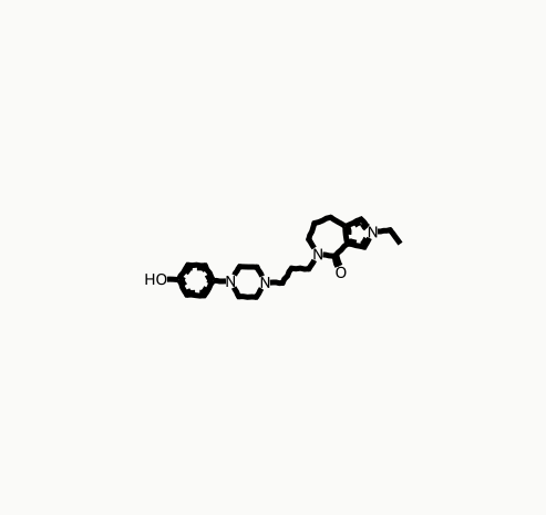 CCn1cc2c(c1)C(=O)N(CCCN1CCN(c3ccc(O)cc3)CC1)CCC2